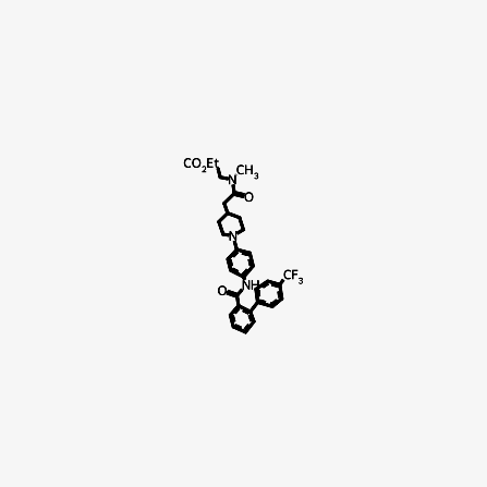 CCOC(=O)CN(C)C(=O)CC1CCN(c2ccc(NC(=O)c3ccccc3-c3ccc(C(F)(F)F)cc3)cc2)CC1